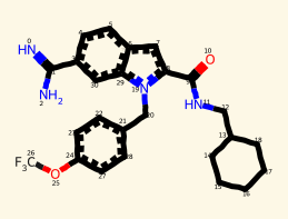 N=C(N)c1ccc2cc(C(=O)NCC3CCCCC3)n(Cc3ccc(OC(F)(F)F)cc3)c2c1